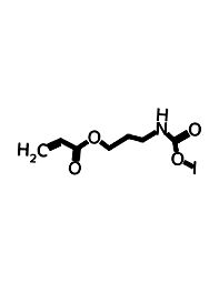 C=CC(=O)OCCCNC(=O)OI